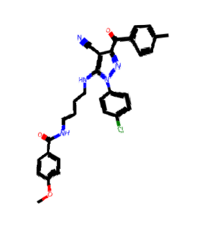 COc1ccc(C(=O)NCCCCNc2c(C#N)c(C(=O)c3ccc(C)cc3)nn2-c2ccc(Cl)cc2)cc1